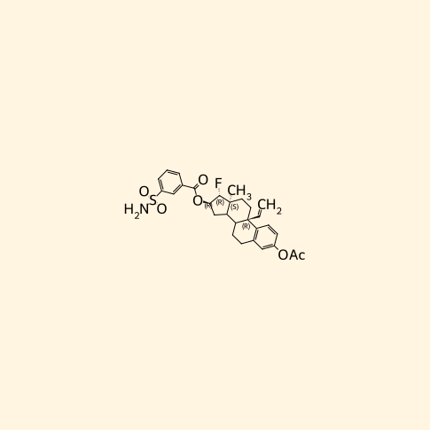 C=C[C@]12CC[C@@]3(C)C(C[C@@H](OC(=O)c4cccc(S(N)(=O)=O)c4)[C@@H]3F)C1CCc1cc(OC(C)=O)ccc12